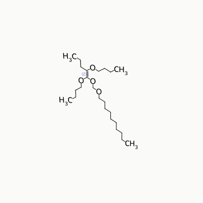 CCCCCCCCCCOCO/C(OCCCC)=C(/CCC)OCCCC